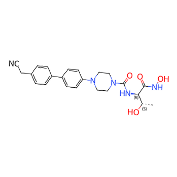 C[C@H](O)[C@@H](NC(=O)N1CCN(c2ccc(-c3ccc(CC#N)cc3)cc2)CC1)C(=O)NO